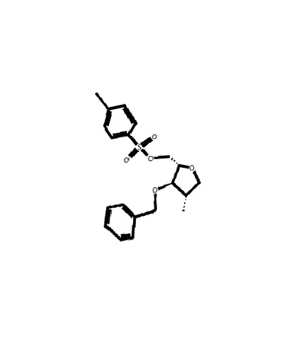 Cc1ccc(S(=O)(=O)OC[C@@H]2OC[C@H](C)[C@H]2OCc2ccccc2)cc1